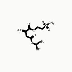 C=C(CC(=O)OC(CCC)CCCC)C(=O)OCCS(C)(=O)=O